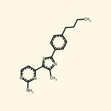 CCCCc1ccc(-c2nc(C)c(-c3ccnc(N)n3)s2)cc1